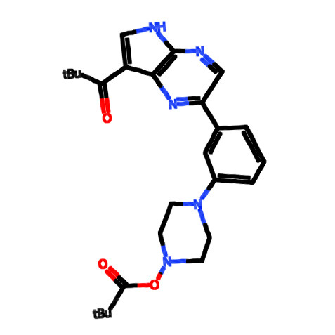 CC(C)(C)C(=O)ON1CCN(c2cccc(-c3cnc4[nH]cc(C(=O)C(C)(C)C)c4n3)c2)CC1